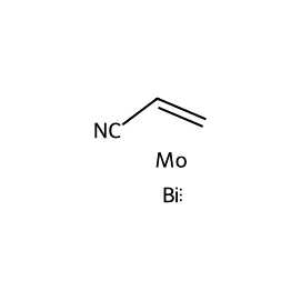 C=CC#N.[Bi].[Mo]